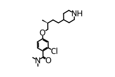 C[C@@H](CCC1CCNCC1)COc1ccc(C(=O)N(C)C)c(Cl)c1